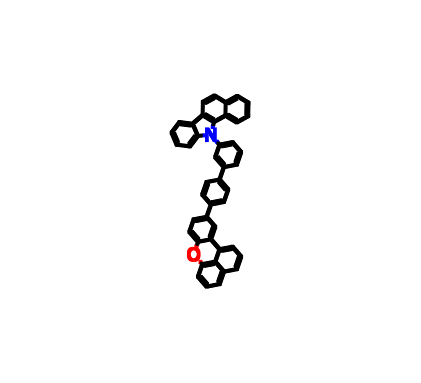 c1cc(-c2ccc(-c3ccc4c(c3)-c3cccc5cccc(c35)O4)cc2)cc(-n2c3ccccc3c3ccc4ccccc4c32)c1